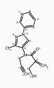 C#CCN(C(=O)C(=C)CS)c1cn(-c2cccnc2)nc1Cl